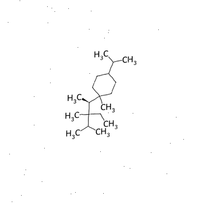 CCC(C)(C(C)C)[C@@H](C)C1(C)CCC(C(C)C)CC1